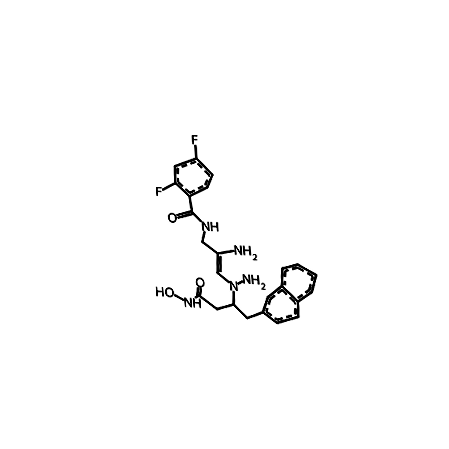 N/C(=C\N(N)C(CC(=O)NO)Cc1ccc2ccccc2c1)CNC(=O)c1ccc(F)cc1F